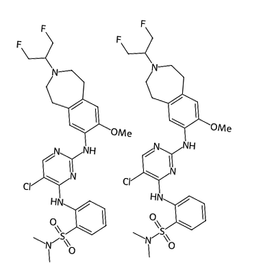 COc1cc2c(cc1Nc1ncc(Cl)c(Nc3ccccc3S(=O)(=O)N(C)C)n1)CCN(C(CF)CF)CC2.COc1cc2c(cc1Nc1ncc(Cl)c(Nc3ccccc3S(=O)(=O)N(C)C)n1)CCN(C(CF)CF)CC2